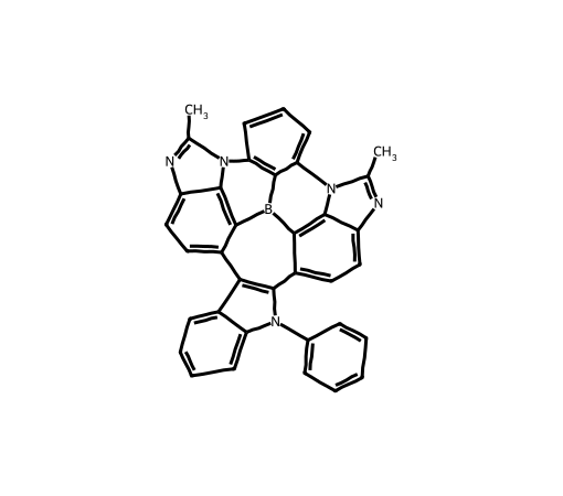 Cc1nc2ccc3c4c2n1-c1cccc2c1B4c1c(ccc4nc(C)n-2c14)-c1c-3c2ccccc2n1-c1ccccc1